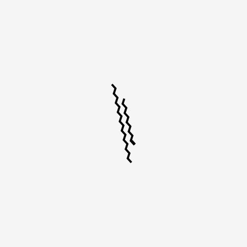 C=CCCCCCCCCC.CCCCCCCCCCCCCCCCCC